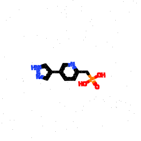 O=P(O)(O)Cc1ccc(-c2cn[nH]c2)cn1